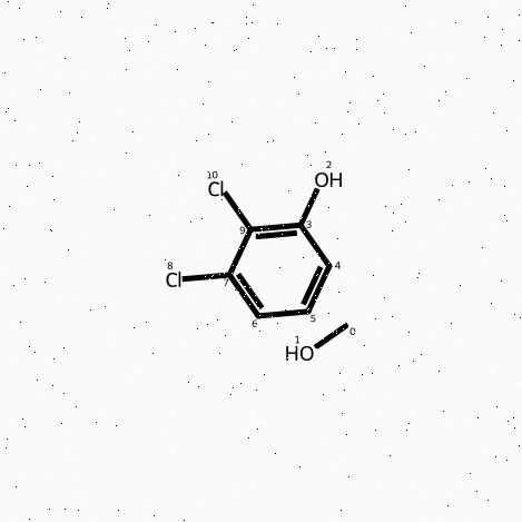 CO.Oc1cccc(Cl)c1Cl